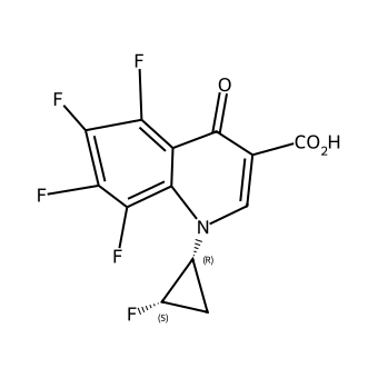 O=C(O)c1cn([C@@H]2C[C@@H]2F)c2c(F)c(F)c(F)c(F)c2c1=O